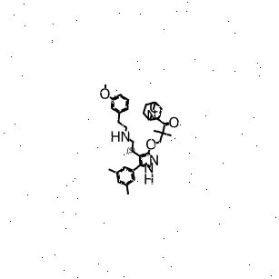 COc1cccc(CCNC[C@@H](C)c2c(OCC(C)(C)C(=O)N3CC4CCC3CC4)n[nH]c2-c2cc(C)cc(C)c2)c1